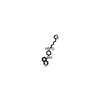 O=C(CCCCC1CCSS1)NC1CCC(Nc2cccc3cnccc23)CC1